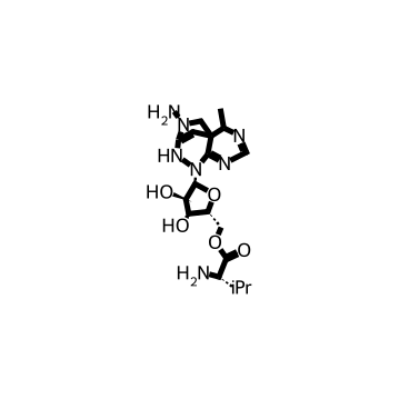 CC(C)[C@H](N)C(=O)OC[C@H]1O[C@@H](N2NC3=CC4(CN3N)C2=NC=NC4C)[C@H](O)[C@@H]1O